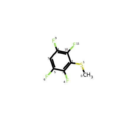 CSc1c(F)c(F)[c]c(F)c1F